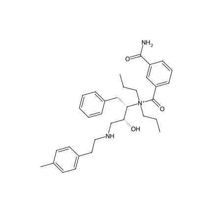 CCC[N+](CCC)(C(=O)c1cccc(C(N)=O)c1)[C@@H](Cc1ccccc1)[C@H](O)CNCCc1ccc(C)cc1